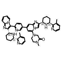 Cc1cccnc1[C@@H]1CCC[C@H](c2cn3c(N4CCN(C)C(=O)C4)cc(-c4ccc(-c5c([C@H]6CCC[C@@H](c7ncccc7C)N6)nc6ccccn56)nc4)cc3n2)N1